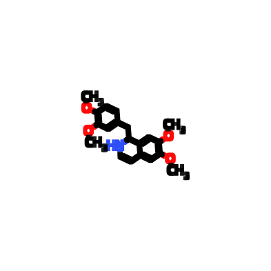 COc1ccc(CC2NC=Cc3cc(OC)c(OC)cc32)cc1OC